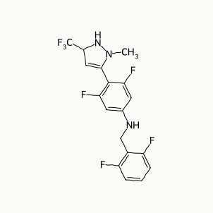 CN1NC(C(F)(F)F)C=C1c1c(F)cc(NCc2c(F)cccc2F)cc1F